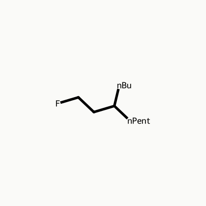 CCCCCC(CCF)CCCC